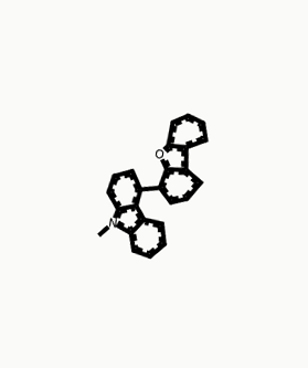 Cn1c2ccccc2c2c(-c3cccc4c3oc3ccccc34)cccc21